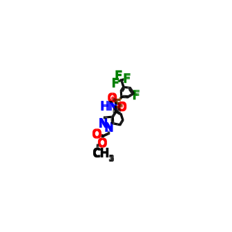 CCOC(=O)Cn1ncc2c1CCC[C@H]2NS(=O)(=O)c1cc(F)cc(C(F)(F)F)c1